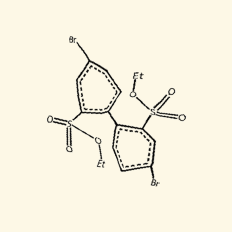 CCOS(=O)(=O)c1cc(Br)ccc1-c1ccc(Br)cc1S(=O)(=O)OCC